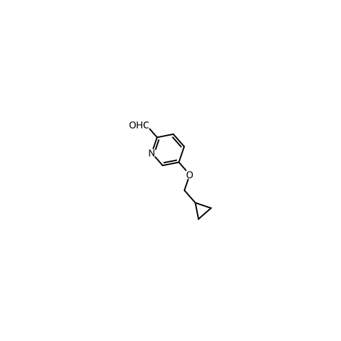 O=Cc1ccc(OCC2CC2)cn1